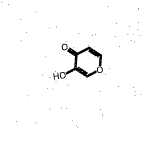 O=c1[c]cocc1O